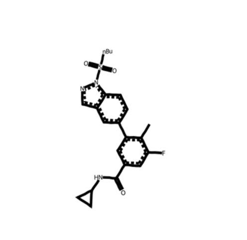 CCCCS(=O)(=O)n1ncc2cc(-c3cc(C(=O)NC4CC4)cc(F)c3C)ccc21